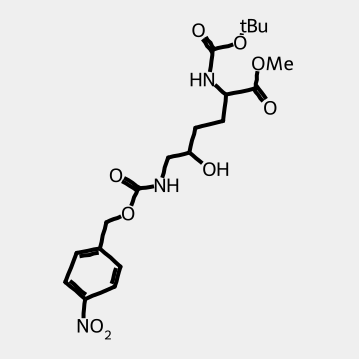 COC(=O)C(CCC(O)CNC(=O)OCc1ccc([N+](=O)[O-])cc1)NC(=O)OC(C)(C)C